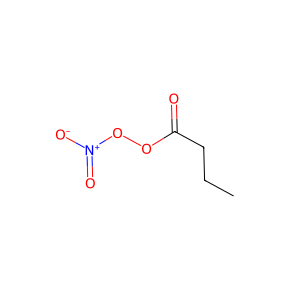 CCCC(=O)OO[N+](=O)[O-]